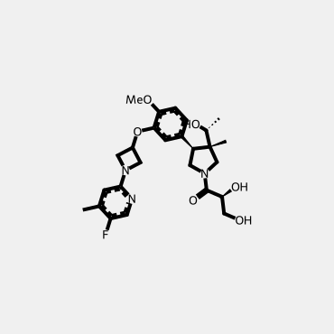 COc1ccc([C@@H]2CN(C(=O)[C@@H](O)CO)C[C@@]2(C)[C@@H](C)O)cc1OC1CN(c2cc(C)c(F)cn2)C1